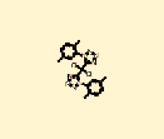 Cc1ccc(C)c(-n2nnnc2C(Cl)(Cl)c2nnnn2-c2cc(C)ccc2C)c1